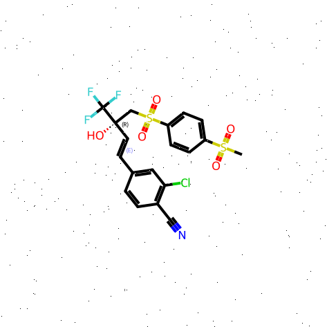 CS(=O)(=O)c1ccc(S(=O)(=O)C[C@@](O)(/C=C/c2ccc(C#N)c(Cl)c2)C(F)(F)F)cc1